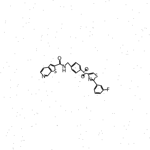 O=C(NCc1ccc(S(=O)(=O)c2csc(-c3cccc(F)c3)n2)cc1)c1cc2ccncc2s1